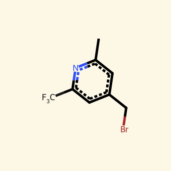 Cc1cc(CBr)cc(C(F)(F)F)n1